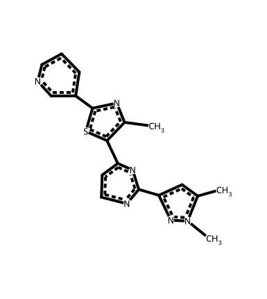 Cc1nc(-c2cccnc2)sc1-c1ccnc(-c2cc(C)n(C)n2)n1